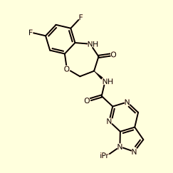 CC(C)n1ncc2cnc(C(=O)N[C@H]3COc4cc(F)cc(F)c4NC3=O)nc21